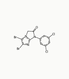 O=C1Cn2c(nc(Br)c2Br)N1c1cc(Cl)cc(Cl)c1